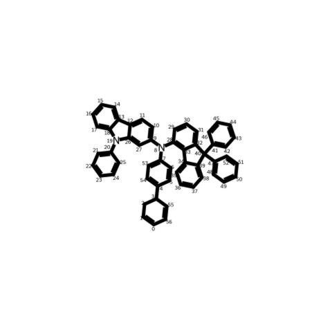 C1=CCC(c2ccc(N(c3ccc4c5ccccc5n(-c5ccccc5)c4c3)c3cccc4c3-c3ccccc3C4(c3ccccc3)c3ccccc3)cc2)C=C1